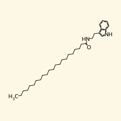 CCCCCCCCCCCCCCCCCCCCCC(=O)NCCc1c[nH]c2ccccc12